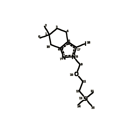 CC1(C)CCc2c(nn(COCC[Si](C)(C)C)c2I)C1